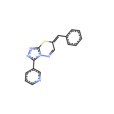 C1=Nn2c(nnc2-c2cccnc2)SC1=Cc1ccccc1